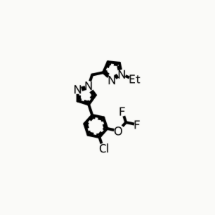 CCn1ccc(Cn2cc(-c3ccc(Cl)c(OC(F)F)c3)cn2)n1